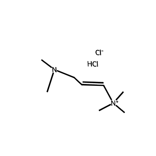 CN(C)CC=C[N+](C)(C)C.Cl.[Cl-]